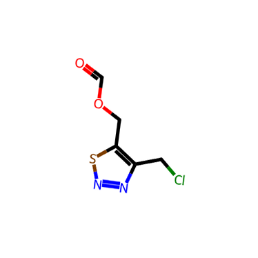 O=COCc1snnc1CCl